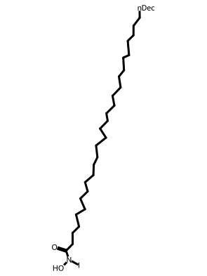 CCCCCCCCCCCCCCCCCCCCCCCCCCCCCCCCCCCCCC(=O)N(O)I